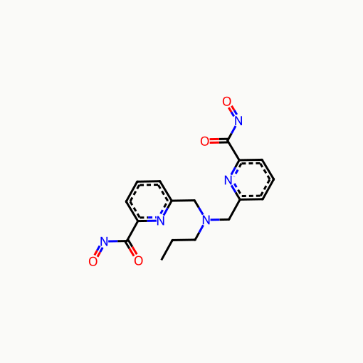 CCCN(Cc1cccc(C(=O)N=O)n1)Cc1cccc(C(=O)N=O)n1